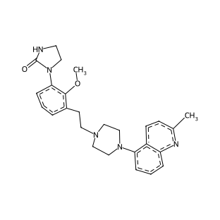 COc1c(CCN2CCN(c3cccc4nc(C)ccc34)CC2)cccc1N1CCNC1=O